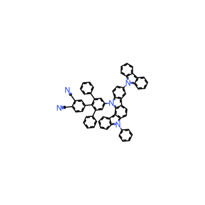 N#Cc1ccc(-c2c(-c3ccccc3)cc(-n3c4ccc(-n5c6ccccc6c6ccccc65)cc4c4ccc5c(c6ccccc6n5-c5ccccc5)c43)cc2-c2ccccc2)cc1C#N